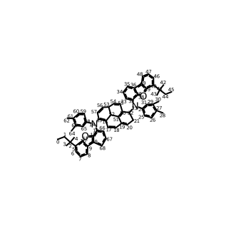 CCC(C)(C)c1cccc2c1oc1c(N(C3=C4C=CC5=CCC(N(c6ccc(C)c(C)c6)c6cccc7c6oc6c(C(C)(C)CC)cccc67)C6=C5C4C(C=C6)C=C3)c3ccc(C)c(C)c3)cccc12